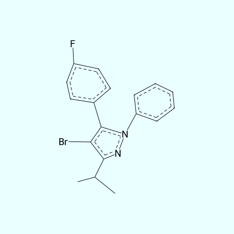 CC(C)c1nn(-c2ccccc2)c(-c2ccc(F)cc2)c1Br